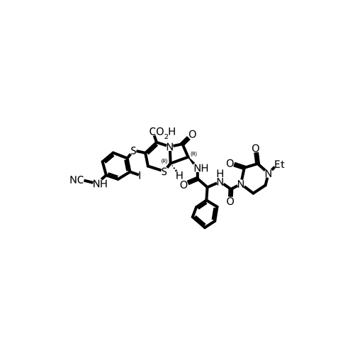 CCN1CCN(C(=O)NC(C(=O)N[C@@H]2C(=O)N3C(C(=O)O)=C(Sc4ccc(NC#N)cc4I)CS[C@H]23)c2ccccc2)C(=O)C1=O